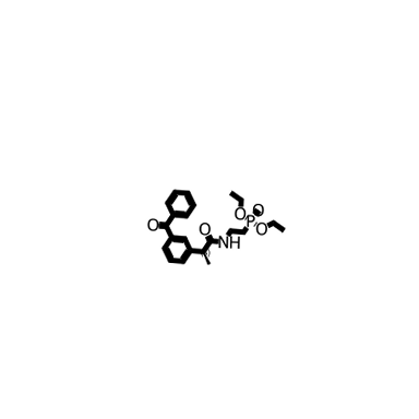 CCOP(=O)(CCNC(=O)[C@@H](C)c1cccc(C(=O)c2ccccc2)c1)OCC